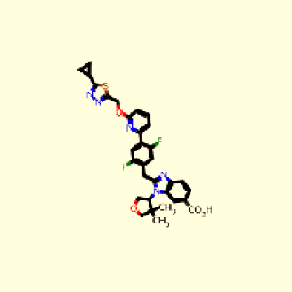 CC1(C)COCC1n1c(Cc2cc(F)c(-c3cccc(OCc4nnc(C5CC5)s4)n3)cc2F)nc2ccc(C(=O)O)cc21